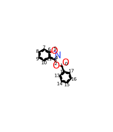 O=C(Oc1noc2ccccc12)c1ccccc1